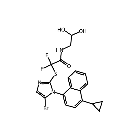 O=C(NCC(O)O)C(F)(F)Sc1ncc(Br)n1-c1ccc(C2CC2)c2ccccc12